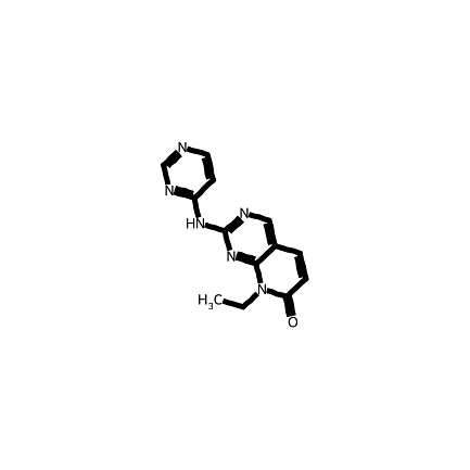 CCn1c(=O)ccc2cnc(Nc3ccncn3)nc21